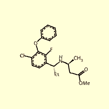 CC[C@@H](N[C@@H](C)CC(=O)OC)c1ccc(Cl)c(Oc2ccccc2)c1F